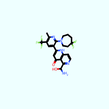 Cc1nc(N2CCCC(F)(F)CC2)c(-c2cc(=O)c3c(C(N)O)nccc3[nH]2)cc1C(F)(F)F